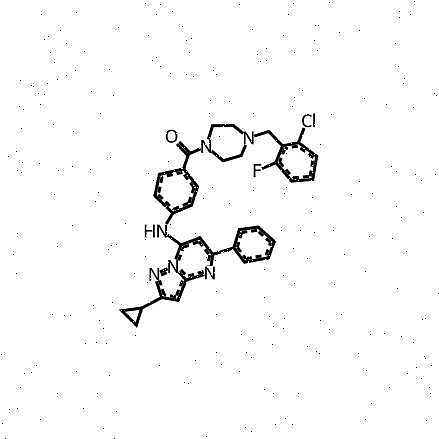 O=C(c1ccc(Nc2cc(-c3ccccc3)nc3cc(C4CC4)nn23)cc1)N1CCN(Cc2c(F)cccc2Cl)CC1